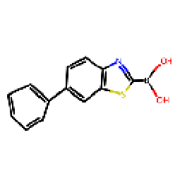 OB(O)c1nc2ccc(-c3ccccc3)cc2s1